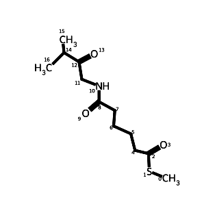 CSC(=O)CCCCC(=O)NCC(=O)C(C)C